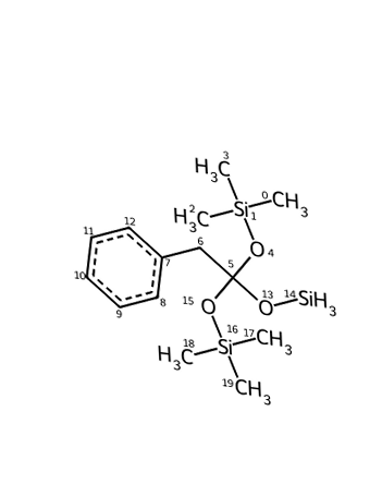 C[Si](C)(C)OC(Cc1ccccc1)(O[SiH3])O[Si](C)(C)C